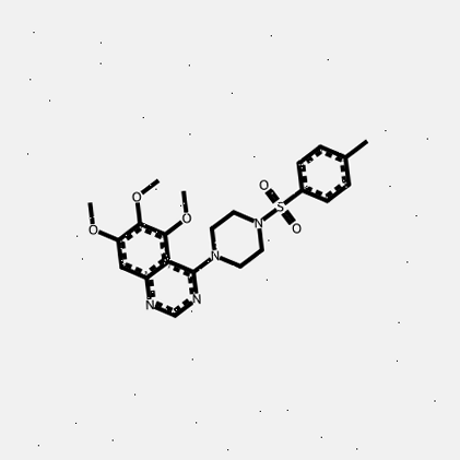 COc1cc2ncnc(N3CCN(S(=O)(=O)c4ccc(C)cc4)CC3)c2c(OC)c1OC